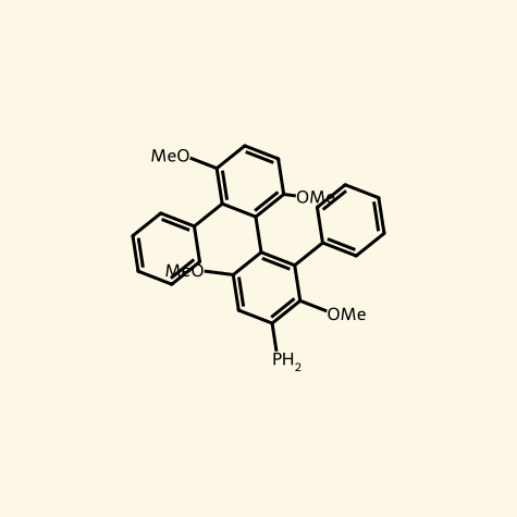 COc1ccc(OC)c(-c2c(OC)cc(P)c(OC)c2-c2ccccc2)c1-c1ccccc1